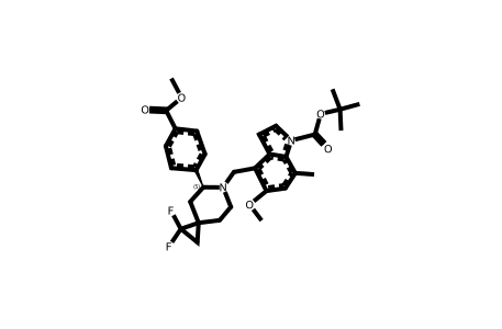 COC(=O)c1ccc([C@@H]2CC3(CCN2Cc2c(OC)cc(C)c4c2ccn4C(=O)OC(C)(C)C)CC3(F)F)cc1